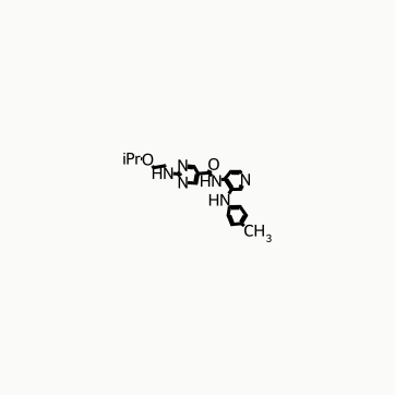 Cc1ccc(Nc2cnccc2NC(=O)c2cnc(NCCOC(C)C)nc2)cc1